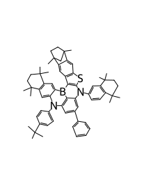 CC(C)(C)c1ccc(N2c3cc4c(cc3B3c5c2cc(-c2ccccc2)cc5N(c2ccc5c(c2)C(C)(C)CCC5(C)C)c2sc5cc6c(cc5c23)C2(C)CCC6(C)C2)C(C)(C)CCC4(C)C)cc1